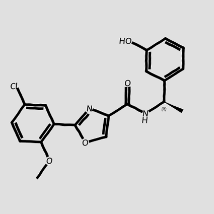 COc1ccc(Cl)cc1-c1nc(C(=O)N[C@H](C)c2cccc(O)c2)co1